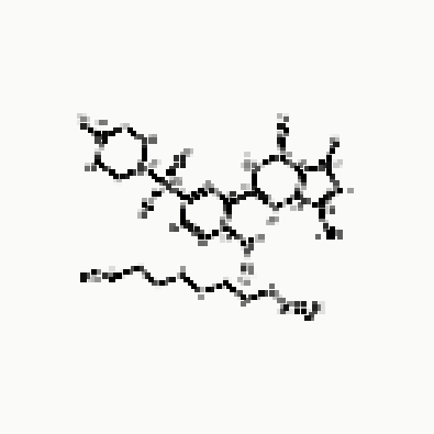 CCCCCCCCCCCCCCCCCC(=O)O.CCCc1nn(C)c2c(=O)[nH]c(-c3cc(S(=O)(=O)N4CCN(C)CC4)ccc3OCC)nc12